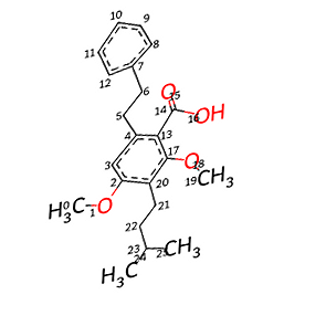 COc1cc(CCc2ccccc2)c(C(=O)O)c(OC)c1CCC(C)C